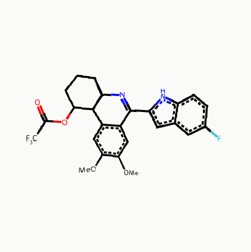 COc1cc2c(cc1OC)C1C(CCCC1OC(=O)C(F)(F)F)N=C2c1cc2cc(F)ccc2[nH]1